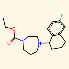 CCOC(=O)N1CCCN(C2CCCc3cc(F)ccc32)CC1